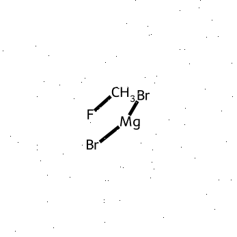 CF.[Br][Mg][Br]